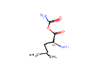 CC(C)C[C@H](N)C(=O)OC(N)=O